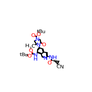 CC1CN(C(=O)OC(C)(C)C)CC(=O)N1c1cc(NC(=O)OC(C)(C)C)c2cnc(NC(=O)[C@H]3C[C@@H]3C#N)cc2c1